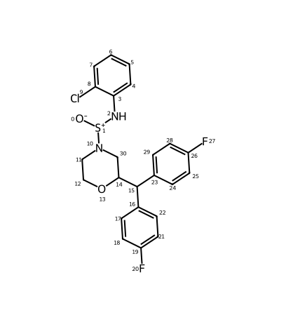 [O-][S+](Nc1ccccc1Cl)N1CCOC(C(c2ccc(F)cc2)c2ccc(F)cc2)C1